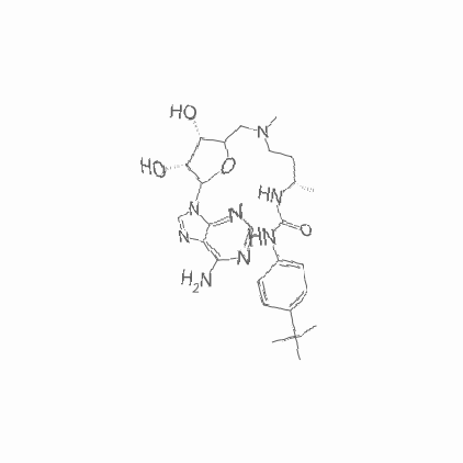 C[C@@H](CCN(C)CC1OC(n2cnc3c(N)ncnc32)[C@H](O)[C@@H]1O)NC(=O)Nc1ccc(C(C)(C)C)cc1